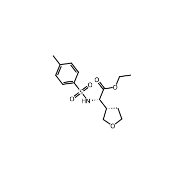 CCOC(=O)[C@@H](NS(=O)(=O)c1ccc(C)cc1)[C@@H]1CCOC1